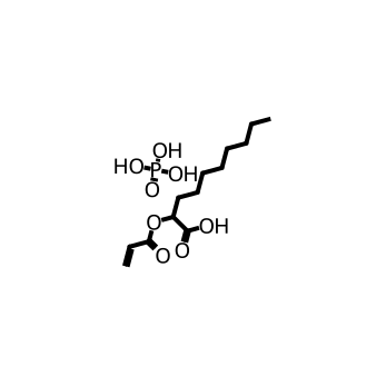 C=CC(=O)OC(CCCCCCCC)C(=O)O.O=P(O)(O)O